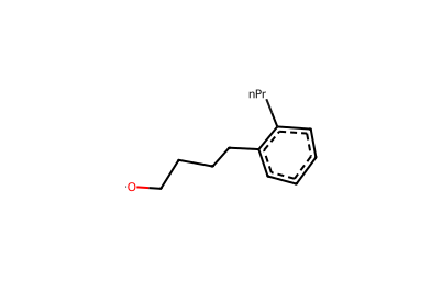 CCCc1ccccc1CCCC[O]